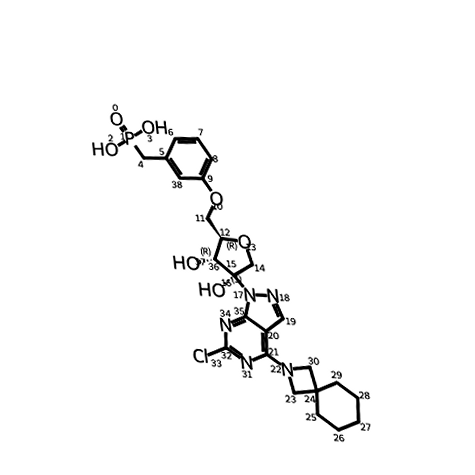 O=P(O)(O)Cc1cccc(OC[C@H]2OC[C@@](O)(n3ncc4c(N5CC6(CCCCC6)C5)nc(Cl)nc43)[C@@H]2O)c1